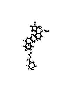 COc1ccc(F)c(Oc2ccc3ccc(OCCCN4CCOCC4)cc3n2)c1N1CCNC1=O